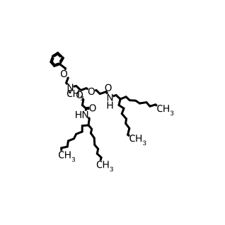 CCCCCCCCC(CCCCCCCC)CNC(=O)CCOCC(CN(C)CCOCc1ccccc1)OCCC(=O)NCC(CCCCCCCC)CCCCCCCC